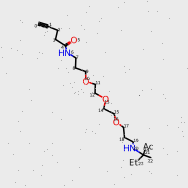 C#CCCC(=O)NCCCOCCOCCOCCCNC(C)(CC)C(C)=O